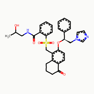 CC(O)CNC(=O)c1ccccc1S(=O)(=O)Cc1c(O[C@H](Cn2ccnc2)c2ccccc2)ccc2c1CCCC2=O